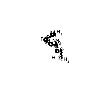 Cc1ncc(COc2cc(F)cc(Oc3ccc(-c4nn(C[C@H]5CCCN5C(=O)/C=C/CN(C)C)c5ncnc(N)c45)cc3)c2)cn1